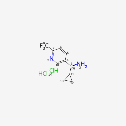 Cl.Cl.N[C@H](c1ccc(C(F)(F)F)nc1)C1CC1